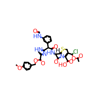 COc1ccc(COC(=O)c2c[nH]c(C(C(=O)N[C@@H]3C(=O)N4C(C(=O)O)=C(C(Cl)OC(C)=O)CS[C@@H]34)c3cccc(NC=O)c3)n2)cc1